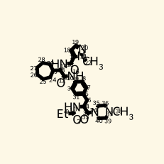 CCC(=O)NC(Cc1ccc(NC(=O)C(NC(=O)c2ccnn2C)C2CCCCCC2)cc1)C(=O)N1CCN(C)CC1